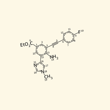 CCOC(=O)c1cc(C#Cc2ccc(F)cc2)c(N)c(-c2cn(C)cn2)c1